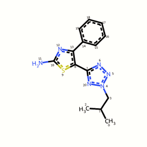 CC(C)Cn1nnc(-c2sc(N)nc2-c2ccccc2)n1